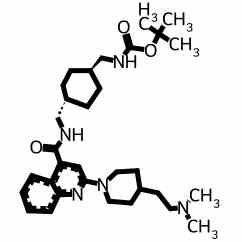 CN(C)CCC1CCN(c2cc(C(=O)NC[C@H]3CC[C@H](CNC(=O)OC(C)(C)C)CC3)c3ccccc3n2)CC1